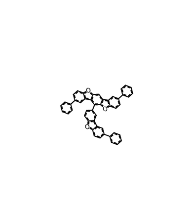 c1ccc(-c2ccc3oc4ccc(-c5c6oc7ccc(-c8ccccc8)cc7c6cc6oc7ccc(-c8ccccc8)cc7c56)cc4c3c2)cc1